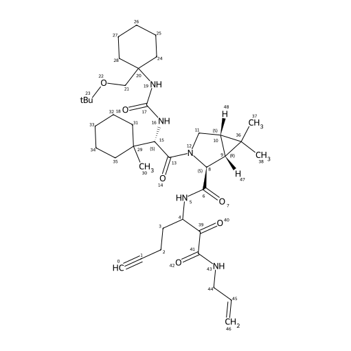 C#CCCC(NC(=O)[C@@H]1[C@@H]2[C@H](CN1C(=O)[C@@H](NC(=O)NC1(COC(C)(C)C)CCCCC1)C1(C)CCCCC1)C2(C)C)C(=O)C(=O)NCC=C